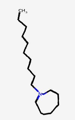 CCCCCCCCCCN1CCCCCC1